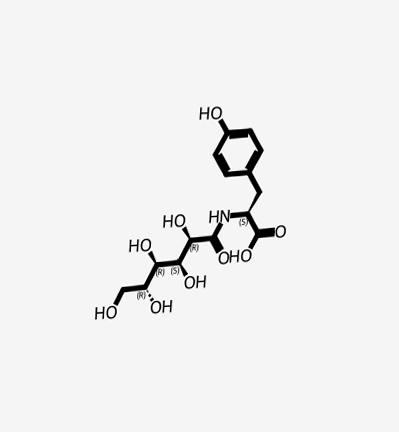 O=C(O)[C@H](Cc1ccc(O)cc1)NC(=O)[C@H](O)[C@@H](O)[C@H](O)[C@H](O)CO